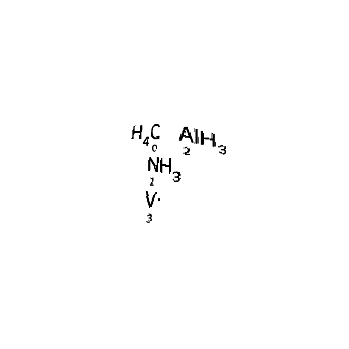 C.N.[AlH3].[V]